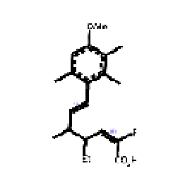 CCC(/C=C(/F)C(=O)O)C(C)/C=C/c1c(C)cc(OC)c(C)c1C